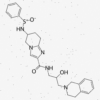 O=C(NCC(O)CN1CCc2ccccc2C1)c1cn2c(n1)CCC(N[S+]([O-])c1ccccc1)C2